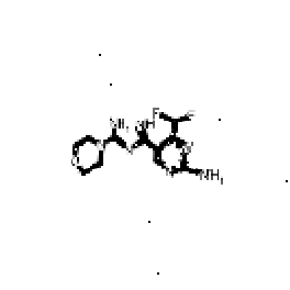 N=C(/N=C(\N)N1CCOCC1)c1cnc(N)nc1C(F)F